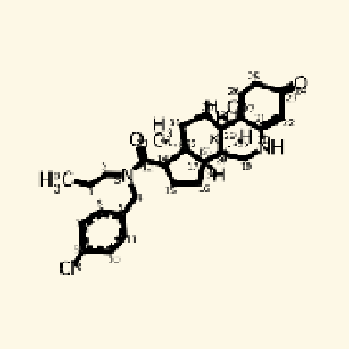 CCCN(Cc1ccc(Cl)cc1)C(=O)C1CC[C@H]2[C@@H]3CNC4=CC(=O)CC[C@]4(C)[C@@H]3CC[C@]12C